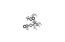 C=C(c1nc(-c2ccc(OC)c3nc(C(F)(F)F)ccc23)oc1C(C)N)N1CCN(c2nc3ccccc3[nH]2)CC1